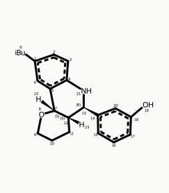 CCC(C)c1ccc2c(c1)[C@H]1OCCC[C@H]1[C@H](c1cccc(O)c1)N2